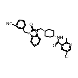 Cc1ncc(Cl)cc1C(=O)N[C@H]1CC[C@H](Cn2c(=O)n(Cc3cccc(C#N)c3)c3ccccc32)CC1